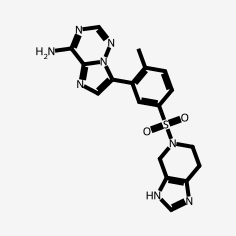 Cc1ccc(S(=O)(=O)N2CCc3nc[nH]c3C2)cc1-c1cnc2c(N)ncnn12